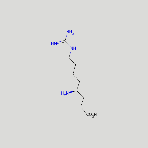 N=C(N)NCCCC[C@H](N)CCC(=O)O